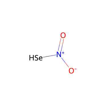 O=[N+]([O-])[SeH]